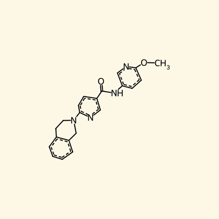 COc1ccc(NC(=O)c2ccc(N3CCc4ccccc4C3)nc2)cn1